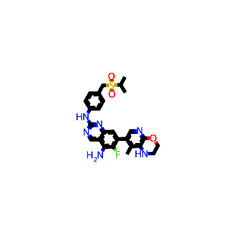 Cc1c(-c2cc3nc(Nc4ccc(CS(=O)(=O)C(C)C)cc4)ncc3c(N)c2F)cnc2c1NCCO2